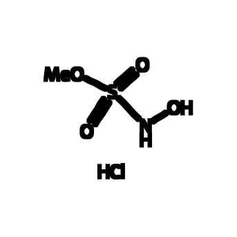 COS(=O)(=O)NO.Cl